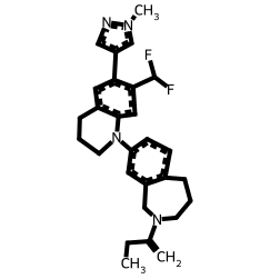 C=C(CC)N1CCCc2ccc(N3CCCc4cc(-c5cnn(C)c5)c(C(F)F)cc43)cc2C1